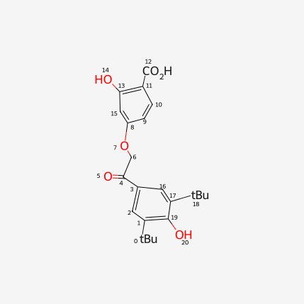 CC(C)(C)c1cc(C(=O)COc2ccc(C(=O)O)c(O)c2)cc(C(C)(C)C)c1O